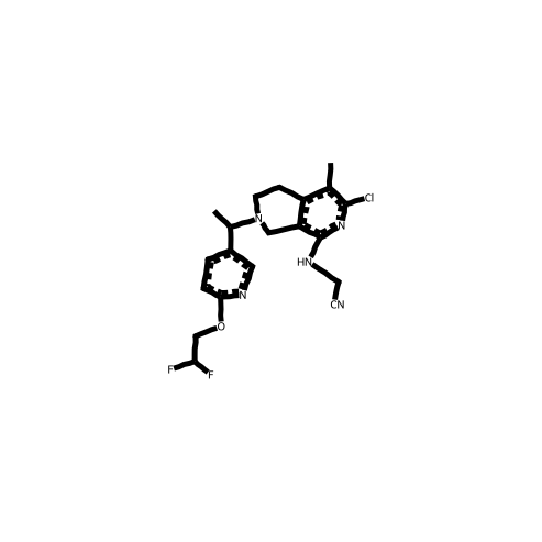 Cc1c(Cl)nc(NCC#N)c2c1CCN(C(C)c1ccc(OCC(F)F)nc1)C2